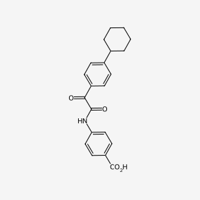 O=C(Nc1ccc(C(=O)O)cc1)C(=O)c1ccc(C2CCCCC2)cc1